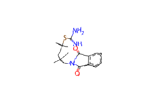 CC(C)(CN1C(=O)c2ccccc2C1=O)CC(C)(C)SC(=N)N